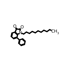 CCCCCCCCCCCN1C(=O)C(=O)c2cccc(-c3ccccc3)c21